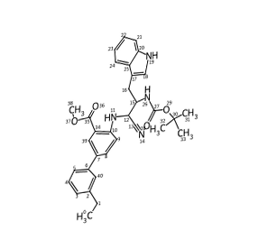 CCc1cccc(-c2ccc(NC(C#N)C(Cc3c[nH]c4ccccc34)NC(=O)OC(C)(C)C)c(C(=O)OC)c2)c1